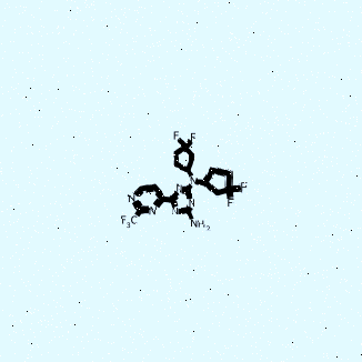 Nc1nc(-c2ccnc(C(F)(F)F)n2)nc(N(C2CCC(F)(F)C2)C2CCC(F)(F)C2)n1